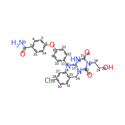 NC(=O)c1ccc(Oc2ccc(/N=c3\[nH]c(=O)n(CCO)c(=O)n3Cc3ccc(Cl)cc3)cc2)cc1